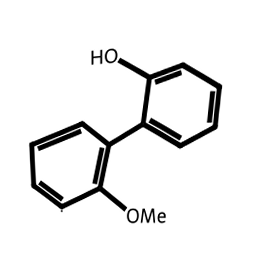 COc1[c]cccc1-c1ccccc1O